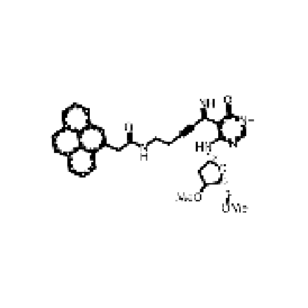 COC[C@H]1O[C@@H](Nc2nc[nH]c(=O)c2C(=N)C#CCCNC(=O)Cc2cc3cccc4ccc5cccc2c5c43)CC1OC